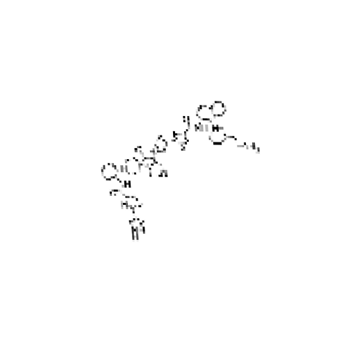 NCCC1CCCN(c2c(NC(=O)c3csc(-c4cc(NC(=O)C5(N6CCOCC6)CCN(c6ccccc6NC(=O)c6csc(-c7cn[nH]c7)n6)CC5)cs4)n3)ccc3ccccc23)C1